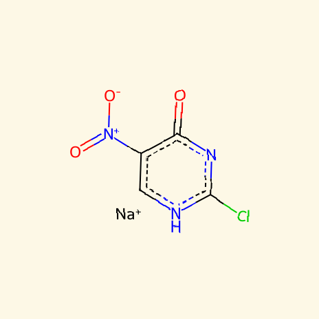 O=c1nc(Cl)[nH]cc1[N+](=O)[O-].[Na+]